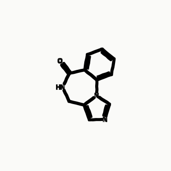 O=C1NCc2cncn2-c2ccccc21